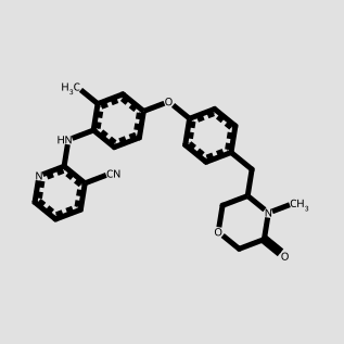 Cc1cc(Oc2ccc(CC3COCC(=O)N3C)cc2)ccc1Nc1ncccc1C#N